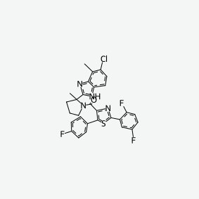 Cc1c(Cl)ccc2[nH]c(C3(C)CCCN3C(=O)c3nc(-c4cc(F)ccc4F)sc3-c3ccc(F)cc3)nc12